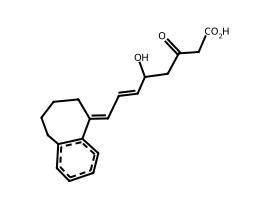 O=C(O)CC(=O)CC(O)C=CC=C1CCCCc2ccccc21